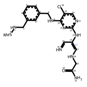 CSNCc1cccc(CNc2nc(N/C(C=N)=C/NCC(N)=O)ncc2Cl)c1